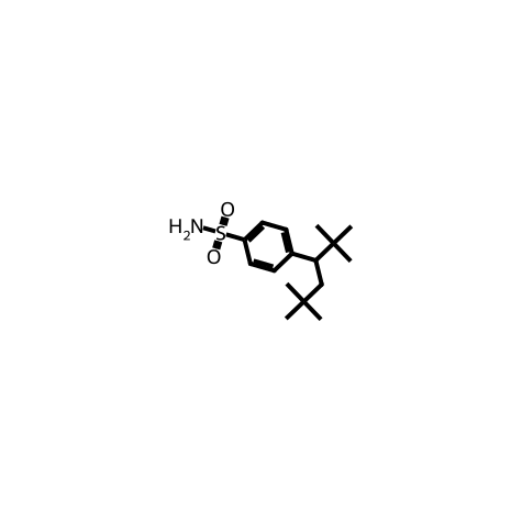 CC(C)(C)CC(c1ccc(S(N)(=O)=O)cc1)C(C)(C)C